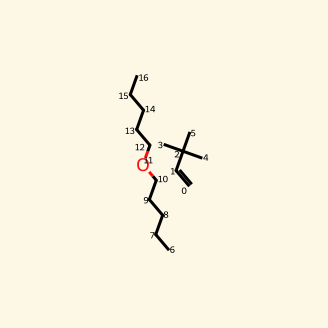 C=CC(C)(C)C.CCCCCOCCCCC